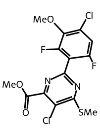 COC(=O)c1nc(-c2c(F)cc(Cl)c(OC)c2F)nc(SC)c1Cl